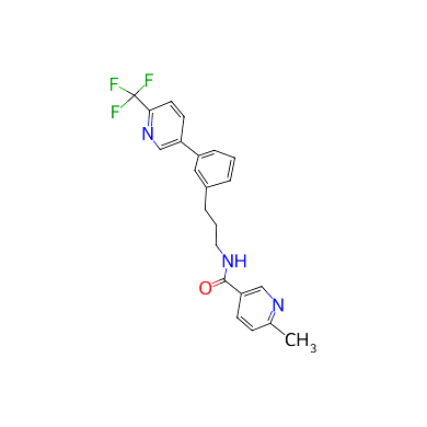 Cc1ccc(C(=O)NCCCc2cccc(-c3ccc(C(F)(F)F)nc3)c2)cn1